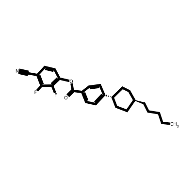 CCCCC[C@H]1CC[C@H](c2ccc(C(=O)Oc3ccc(C#N)c(F)c3F)cc2)CC1